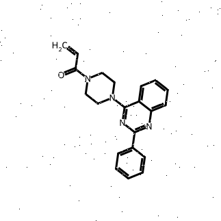 C=CC(=O)N1CCN(c2nc(-c3ccccc3)nc3ccccc23)CC1